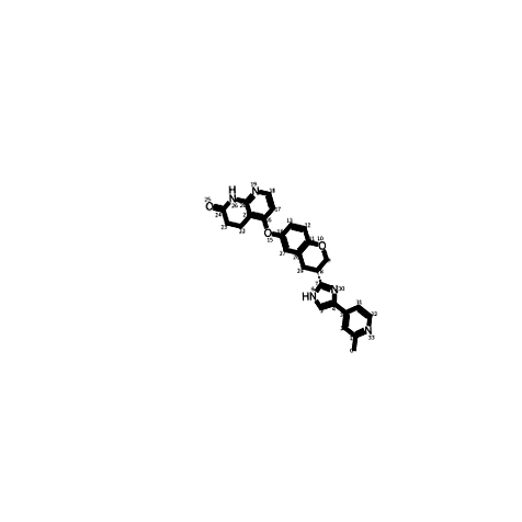 Cc1cc(-c2c[nH]c([C@H]3COc4ccc(Oc5ccnc6c5CCC(=O)N6)cc4C3)n2)ccn1